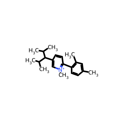 Cc1ccc(-c2ccc(C(C(C)C)C(C)C)c[n+]2C)c(C)c1